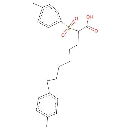 Cc1ccc(CCCCCCC(C(=O)O)S(=O)(=O)c2ccc(C)cc2)cc1